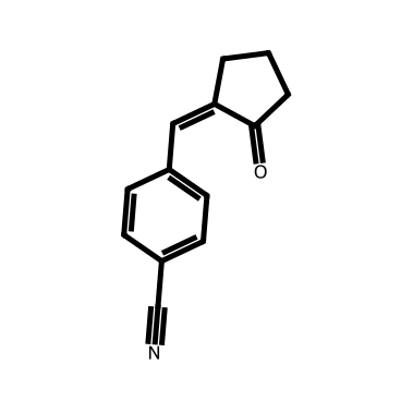 N#Cc1ccc(C=C2CCCC2=O)cc1